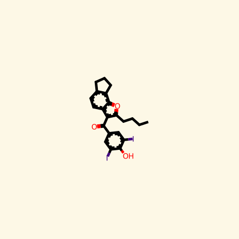 CCCCc1oc2c3c(ccc2c1C(=O)c1cc(I)c(O)c(I)c1)CCC3